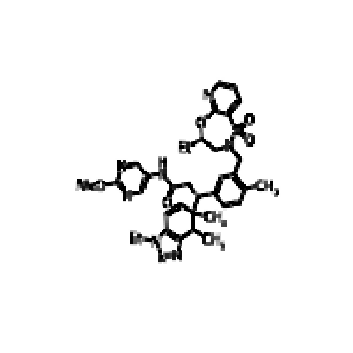 CC[C@@H]1CN(Cc2cc([C@H](CC(=O)Nc3cnc(OC)nc3)C3(C)C=Cc4c(nnn4CC)C3C)ccc2C)S(=O)(=O)c2cccnc2O1